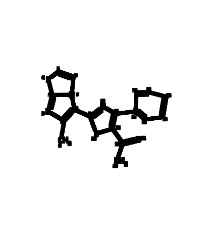 Cc1nc2sccn2c1-c1nc(-c2ccccc2)c(C(N)=O)s1